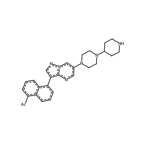 CC(=O)c1cccc2c(-c3cnn4cc(N5CCN(C6CCNCC6)CC5)cnc34)cccc12